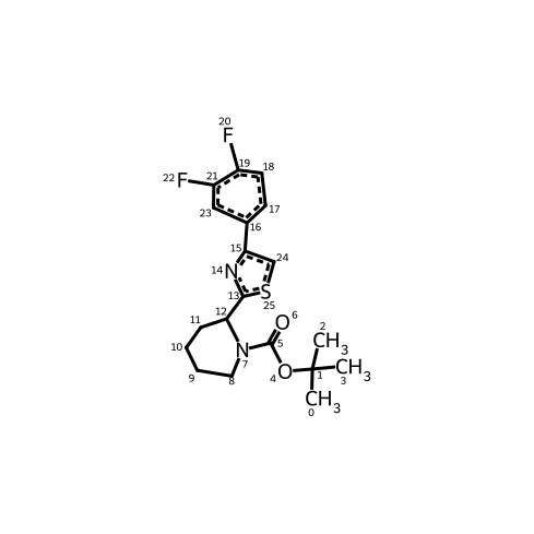 CC(C)(C)OC(=O)N1CCCCC1c1nc(-c2ccc(F)c(F)c2)cs1